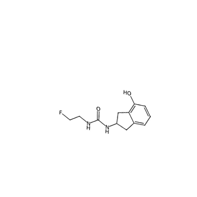 O=C(NCCF)NC1Cc2cccc(O)c2C1